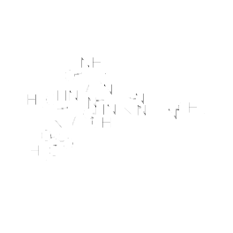 COc1cc(S(C)(=O)=O)cc(C)c1Nc1nc(Nc2cnn(C3CCCN(C)C3)c2)ncc1C(N)=O